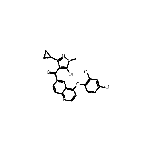 Cn1nc(C2CC2)c(C(=O)c2ccc3nccc(Oc4ccc(Cl)cc4Cl)c3c2)c1O